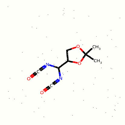 CC1(C)OCC(C(N=C=O)N=C=O)O1